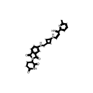 Cc1cccc(C(=N)/C=C\NC2CC(CNc3ccc4c(c3)C(=O)N(C3CCC(=O)NC3=O)C4=O)C2)n1